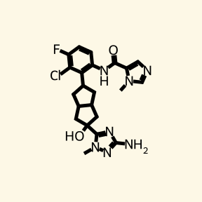 Cn1cncc1C(=O)Nc1ccc(F)c(Cl)c1C1CC2CC(O)(c3nc(N)nn3C)CC2C1